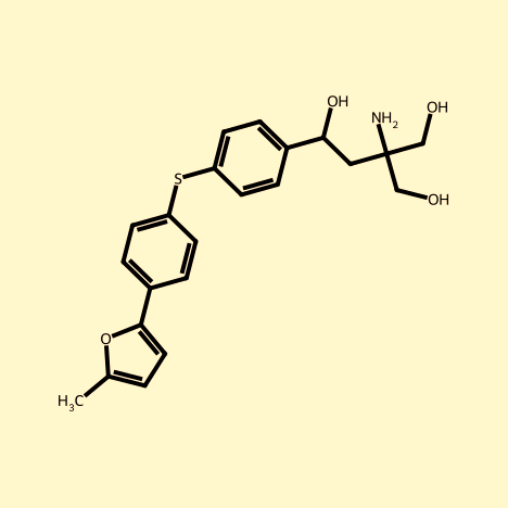 Cc1ccc(-c2ccc(Sc3ccc(C(O)CC(N)(CO)CO)cc3)cc2)o1